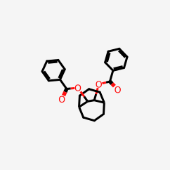 O=C(OC1C2CCCC(CCC2)C1OC(=O)c1ccccc1)c1ccccc1